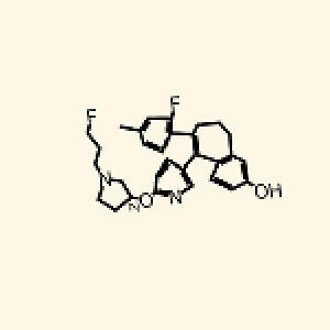 Cc1ccc(C2=C(c3ccc(O[C@H]4CCN(CCCF)C4)nc3)c3ccc(O)cc3CCC2)c(F)c1